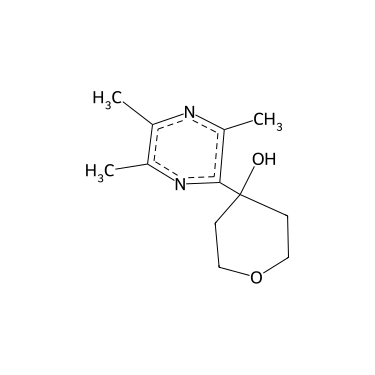 Cc1nc(C)c(C2(O)CCOCC2)nc1C